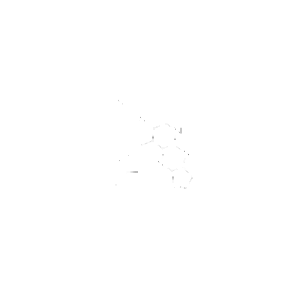 CCc1[nH]c2nc3cc(C)sc3nc2c(=O)c1N1CCNCC1.O=C(O)C(F)(F)F